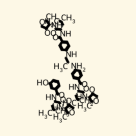 C=C(C)C[C@H](NC(=O)c1ccc(N)cc1)C(=O)N[C@@H]1C(=O)CO[C@@H]1C.CC(C)C[C@H](NC(=O)c1cccc(O)c1)C(=O)N[C@@H]1C(=O)CO[C@@H]1C.CCCNc1ccc(C(=O)N[C@@H](CC(C)C)C(=O)N[C@@H]2C(=O)CO[C@@H]2C)cc1